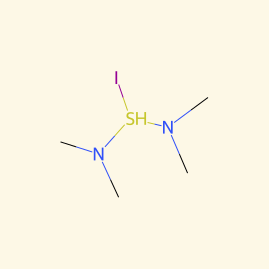 CN(C)[SH](I)N(C)C